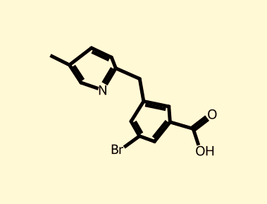 Cc1ccc(Cc2cc(Br)cc(C(=O)O)c2)nc1